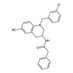 N#Cc1ccc2c(c1)CC(NC(=O)Cc1ccccc1)CN2Cc1cccc(Cl)c1